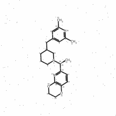 Cc1cc(CC2CCCN([C@@H](C)c3ccc4c(n3)OCCO4)C2)cc(C)n1